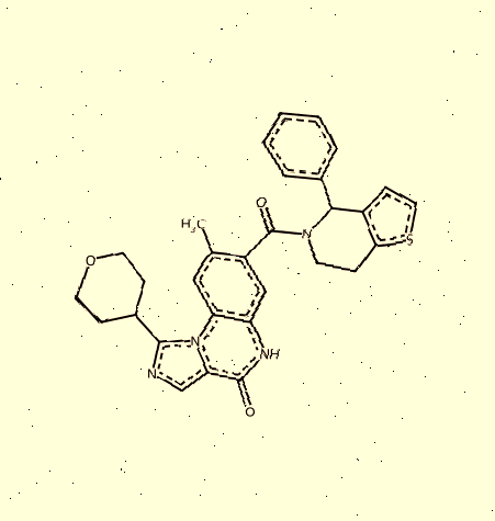 Cc1cc2c(cc1C(=O)N1CCc3sccc3C1c1ccccc1)[nH]c(=O)c1cnc(C3CCOCC3)n12